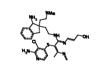 C=N\C(C)=C(Sc1ccnc(N)c1Cl)/C(=N/C=C/CO)NCCC1(CCNC)Cc2ccccc2C1N